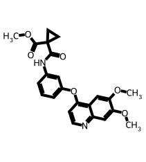 COC(=O)C1(C(=O)Nc2cccc(Oc3ccnc4cc(OC)c(OC)cc34)c2)CC1